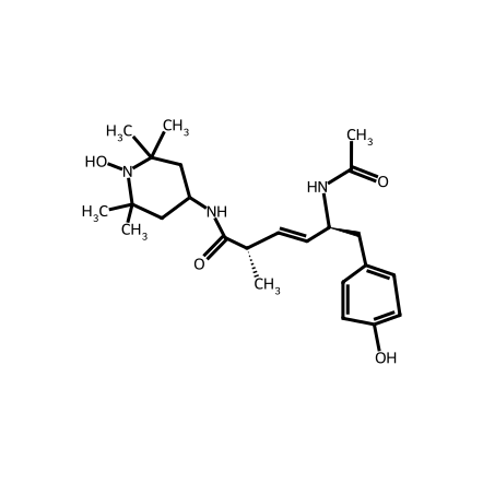 CC(=O)N[C@H](/C=C/[C@H](C)C(=O)NC1CC(C)(C)N(O)C(C)(C)C1)Cc1ccc(O)cc1